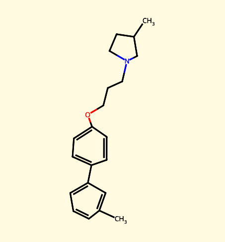 Cc1cccc(-c2ccc(OCCCN3CCC(C)C3)cc2)c1